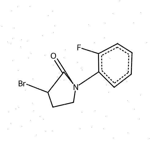 O=C1C(Br)CCN1c1ccccc1F